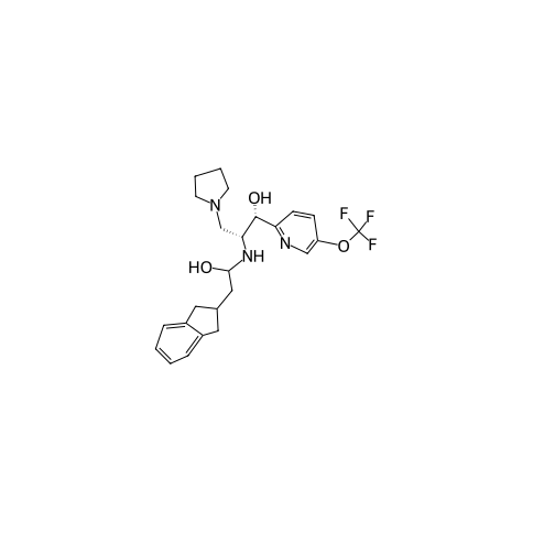 OC(CC1Cc2ccccc2C1)N[C@H](CN1CCCC1)[C@H](O)c1ccc(OC(F)(F)F)cn1